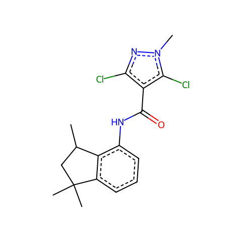 CC1CC(C)(C)c2cccc(NC(=O)c3c(Cl)nn(C)c3Cl)c21